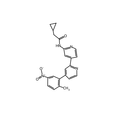 Cc1ccc([N+](=O)[O-])cc1-c1ccnc(-c2ccnc(NC(=O)CC3CC3)c2)c1